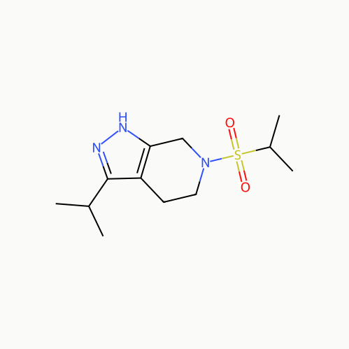 CC(C)c1n[nH]c2c1CCN(S(=O)(=O)C(C)C)C2